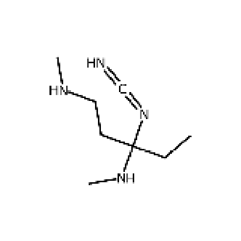 CCC(CCNC)(N=C=N)NC